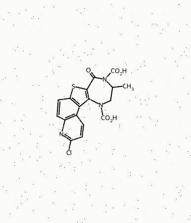 CC1CN(C(=O)O)c2c(sc3ccc4nc(Cl)ccc4c23)C(=O)N1C(=O)O